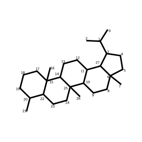 CC(C)C1CCC2(C)CCC3C(CCC4C5(C)CCCC(C)C5CCC34C)C12